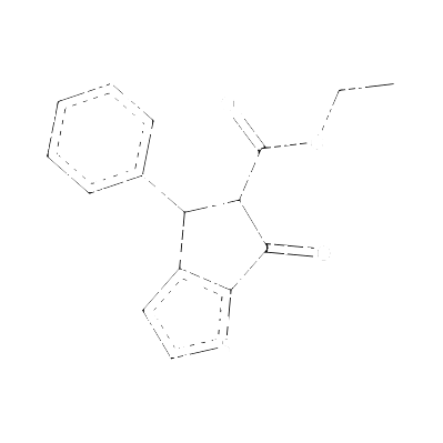 CCOC(=O)C1C(=O)c2sccc2C1c1ccccc1